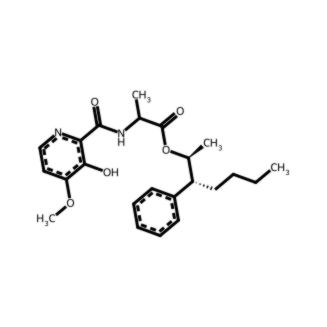 CCCC[C@H](c1ccccc1)[C@H](C)OC(=O)C(C)NC(=O)c1nccc(OC)c1O